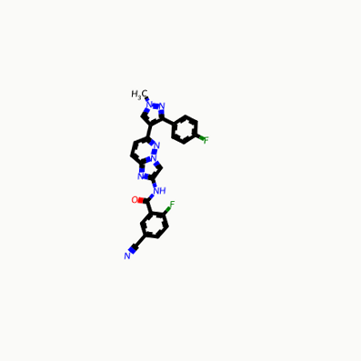 Cn1cc(-c2ccc3nc(NC(=O)c4cc(C#N)ccc4F)cn3n2)c(-c2ccc(F)cc2)n1